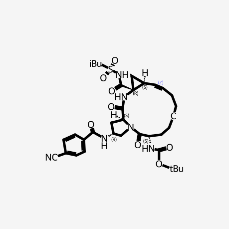 CCC(C)S(=O)(=O)NC(=O)[C@@]12C[C@H]1/C=C\CCCCC[C@H](NC(=O)OC(C)(C)C)C(=O)N1C[C@H](NC(=O)c3ccc(C#N)cc3)C[C@H]1C(=O)N2